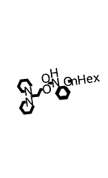 CCCCCCOc1ccccc1NC(=O)OCCC(N1CCCCC1)N1CCCCC1